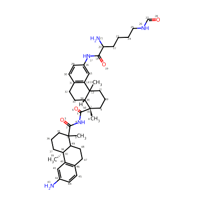 CC1(C(=O)NC(=O)[C@@]2(C)CCCC3(C)c4cc(NC(=O)C(N)CCCCNC=O)ccc4CC[C@H]32)CCC[C@]2(C)c3cc(N)ccc3CCC12